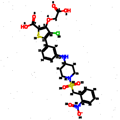 O=C(O)COc1c(C(=O)O)sc(-c2cccc(NC3CCN(S(=O)(=O)Cc4ccccc4[N+](=O)[O-])CC3)c2)c1Cl